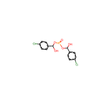 O=[PH](OC(O)c1ccc(Cl)cc1)OC(O)c1ccc(Cl)cc1